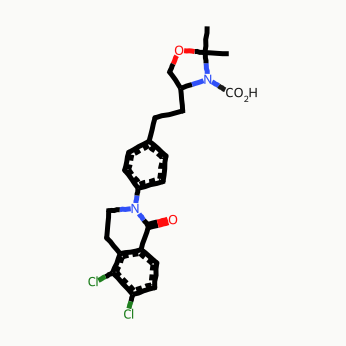 CC1(C)OCC(CCc2ccc(N3CCc4c(ccc(Cl)c4Cl)C3=O)cc2)N1C(=O)O